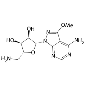 COc1nn([C@@H]2O[C@H](CN)[C@@H](O)[C@H]2O)c2ncnc(N)c12